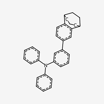 c1ccc(N(c2ccccc2)c2cccc(-c3ccc4c(c3)C3CCCC4CC3)c2)cc1